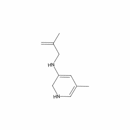 C=C(C)CNC1=CC(C)=CNC1